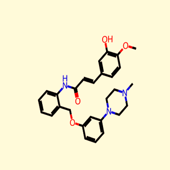 COc1ccc(C=CC(=O)Nc2ccccc2COc2cccc(N3CCN(C)CC3)c2)cc1O